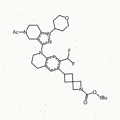 CC(=O)N1CCc2c(c(N3CCCc4cc(C5CC6(C5)CN(C(=O)OC(C)(C)C)C6)c(C(F)F)cc43)nn2C2CCOCC2)C1